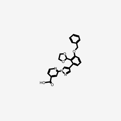 O=C(O)c1ccnc(-n2cc(-c3cccc(OCc4ccccc4)c3C3OCCO3)cn2)c1